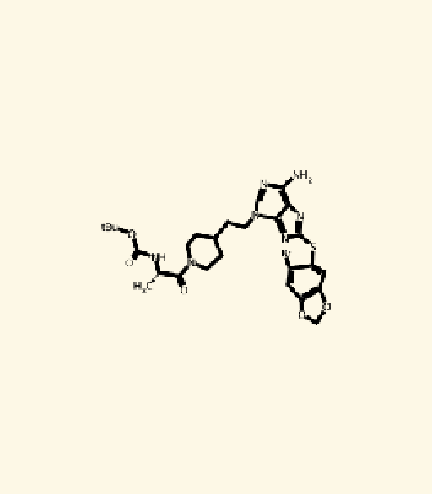 C[C@H](NC(=O)OC(C)(C)C)C(=O)N1CCC(CCn2cnc(N)c3nc(Sc4cc5c(cc4Br)OCO5)nc2-3)CC1